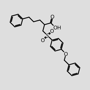 O=C(O)C(CCCc1ccccc1)CS(=O)(=O)c1ccc(OCc2ccccc2)cc1